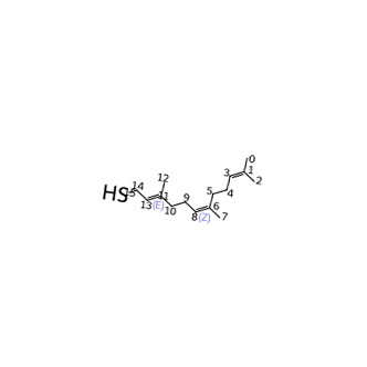 CC(C)=CCC/C(C)=C\CC/C(C)=C/CS